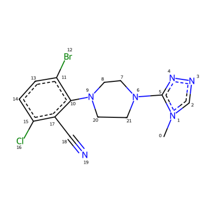 Cn1cnnc1N1CCN(c2c(Br)ccc(Cl)c2C#N)CC1